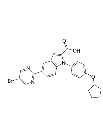 O=C(O)c1cc2cc(-c3ncc(Br)cn3)ccc2n1-c1ccc(OC2CCCC2)cc1